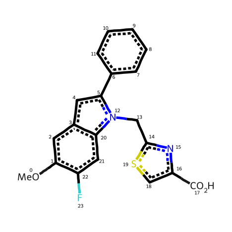 COc1cc2cc(-c3ccccc3)n(Cc3nc(C(=O)O)cs3)c2cc1F